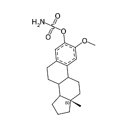 COc1cc2c(cc1OS(N)(=O)=O)CCC1C2CC[C@]2(C)CCCC12